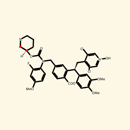 COc1ccc(N(Cc2ccc(C(=O)[O-])c([C@@H](Cc3c(Cl)c[n+](O)cc3Cl)c3ccc(OC)c(OC)c3)c2)C(=O)O[C@H]2CN3CCC2CC3)c(F)c1